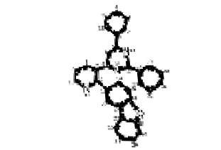 c1ccc(-c2cc(-c3cccnc3-c3ccc4oc5ccccc5c4c3)nc(-c3ccccc3)n2)cc1